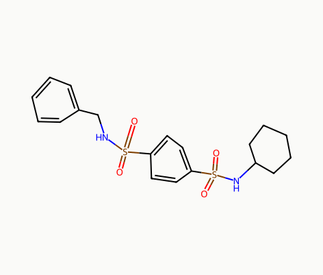 O=S(=O)(NCc1ccccc1)c1ccc(S(=O)(=O)NC2CCCCC2)cc1